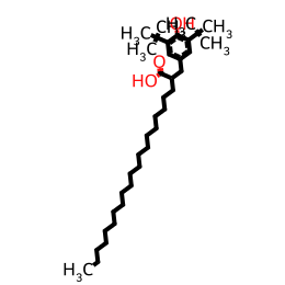 CCCCCCCCCCCCCCCCCCCCC(Cc1cc(C(C)(C)C)c(O)c(C(C)(C)C)c1)C(=O)O